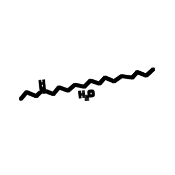 CCCCCCCCCCCCCCNCCC.O